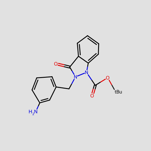 CC(C)(C)OC(=O)n1c2ccccc2c(=O)n1Cc1cccc(N)c1